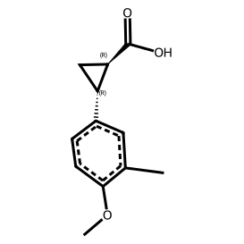 COc1ccc([C@@H]2C[C@H]2C(=O)O)cc1C